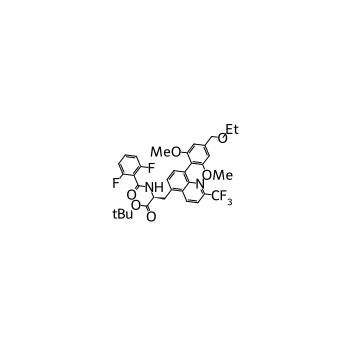 CCOCc1cc(OC)c(-c2ccc(C[C@H](NC(=O)c3c(F)cccc3F)C(=O)OC(C)(C)C)c3ccc(C(F)(F)F)nc23)c(OC)c1